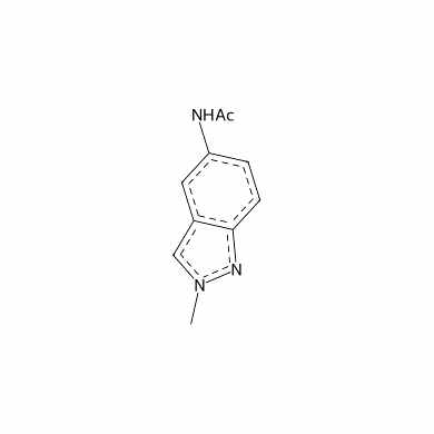 CC(=O)Nc1ccc2nn(C)cc2c1